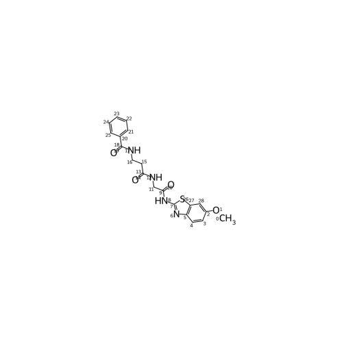 COc1ccc2nc(NC(=O)CNC(=O)CCNC(=O)c3ccccc3)sc2c1